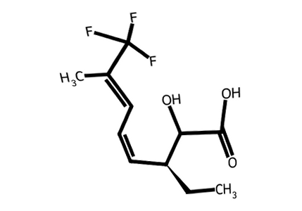 CC[C@@H](/C=C\C=C(/C)C(F)(F)F)C(O)C(=O)O